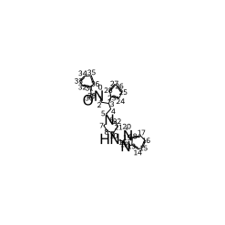 CN(CC(CCN1CCC(Nc2nc3ccccc3n2C)CC1)c1ccccc1)C(=O)c1ccccc1